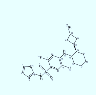 O=S(=O)(Nc1nccs1)c1cc(Cl)c(NC2CCCC[C@@H]2N2CC(O)C2)cc1F